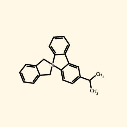 CC(C)c1ccc2c(c1)-c1ccccc1[Si]21Cc2ccccc2C1